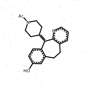 CC(=O)N1CCC(=C2c3ccc(O)cc3CCc3cccnc32)CC1